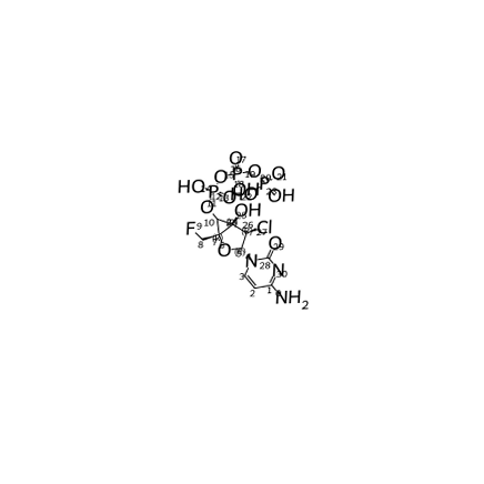 Nc1ccn([C@@H]2O[C@]3(CF)C(OP(=O)(O)OP(=O)(O)OP(=O)(O)O)[C@]3(O)[C@H]2Cl)c(=O)n1